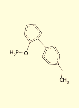 CCc1ccc(-c2ccccc2OP)cc1